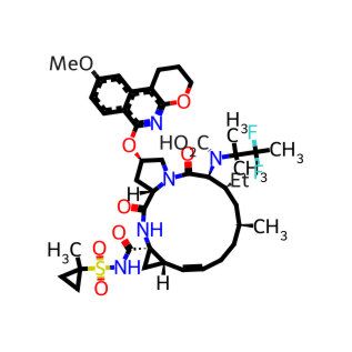 CC[C@@H]1C[C@@H](C)CC/C=C\[C@@H]2C[C@@]2(C(=O)NS(=O)(=O)C2(C)CC2)NC(=O)[C@@H]2C[C@@H](Oc3nc4c(c5cc(OC)ccc35)CCCO4)CN2C(=O)[C@H]1N(C(=O)O)C(C)(C)C(C)(F)F